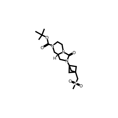 CC(C)(C)OC(=O)N1CCN2C(=O)N(C34CC(CS(C)(=O)=O)(C3)C4)C[C@@H]2C1